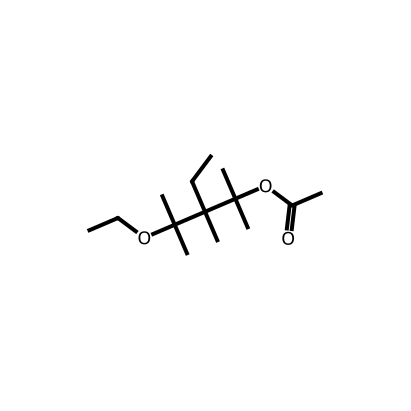 CCOC(C)(C)C(C)(CC)C(C)(C)OC(C)=O